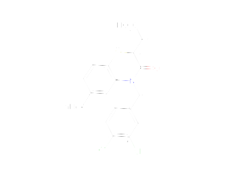 CCCCCCc1ccc2c(c1)N(Cc1ccc(Cl)c(Cl)c1)C(=O)C(CC(=O)O)S2